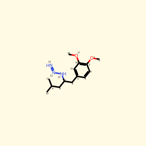 COc1ccc(CC(CC(C)C)NN=N)cc1OC